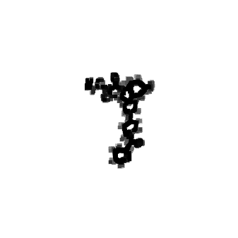 CN(C)C(=O)N1CC2(CCN(C3CCN(C(=O)c4ccccn4)CC3)CC2)c2cc(F)ccc21